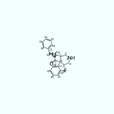 CC1CNCCC1(C(=O)OCc1ccccc1)c1ccccc1F